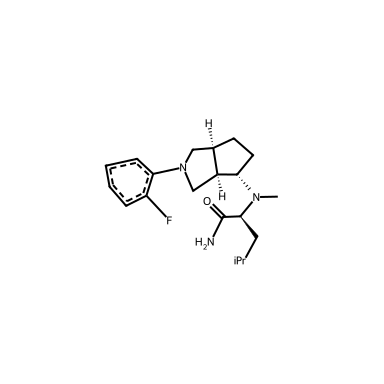 CC(C)C[C@@H](C(N)=O)N(C)[C@H]1CC[C@@H]2CN(c3ccccc3F)C[C@@H]21